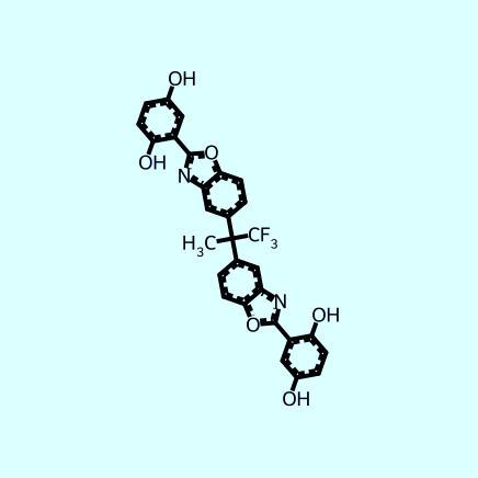 CC(c1ccc2oc(-c3cc(O)ccc3O)nc2c1)(c1ccc2oc(-c3cc(O)ccc3O)nc2c1)C(F)(F)F